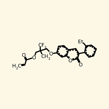 C=CC(=O)OCC(C)(COc1ccc2cc(-c3ccccc3CC)c(=O)oc2c1)C(F)(F)F